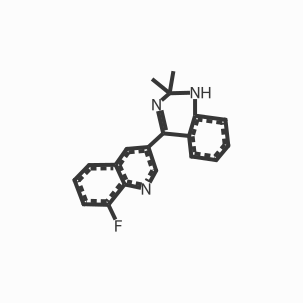 CC1(C)N=C(c2cnc3c(F)cccc3c2)c2ccccc2N1